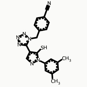 Cc1cc(C)cc(-n2ncc(-c3nnnn3Cc3ccc(C#N)cc3)c2S)c1